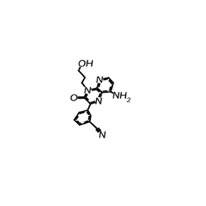 N#Cc1cccc(-c2nc3c(N)ccnc3n(CCCO)c2=O)c1